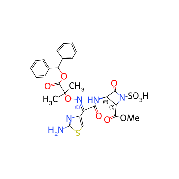 COC(=O)[C@H]1[C@@H](NC(=O)/C(=N/OC(C)(C)C(=O)OC(c2ccccc2)c2ccccc2)c2csc(N)n2)C(=O)N1S(=O)(=O)O